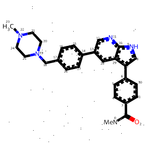 CNC(=O)c1ccc(-c2c[nH]c3ncc(-c4ccc(CN5CCN(C)CC5)cc4)cc23)cc1